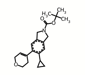 CC(C)(C)OC(=O)N1Cc2cc(C3=CCOCC3)c(C3CC3)cc2C1